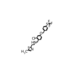 Cc1cnc(CCNCc2ccc(OCc3ccc(SC(F)(F)F)cc3)cc2Cl)s1